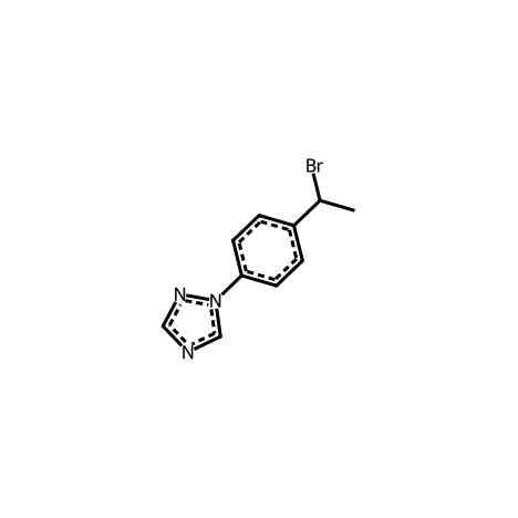 CC(Br)c1ccc(-n2cncn2)cc1